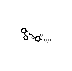 O=C(O)c1ccc(OCCOc2ccccc2C2CCCC2)cc1O